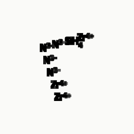 [N-3].[N-3].[N-3].[N-3].[SiH4].[Zr+4].[Zr+4].[Zr+4]